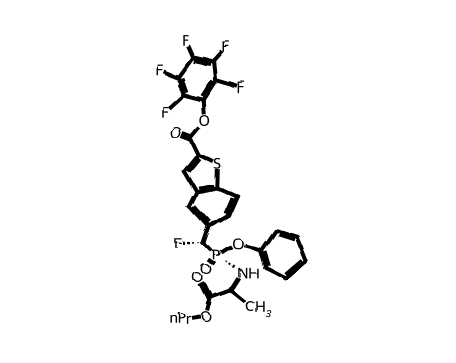 CCCOC(=O)C(C)N[P@@](=O)(Oc1ccccc1)[C@H](F)c1ccc2sc(C(=O)Oc3c(F)c(F)c(F)c(F)c3F)cc2c1